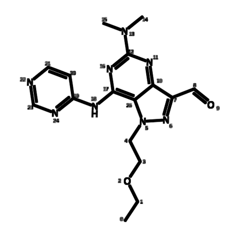 CCOCCn1nc(C=O)c2nc(N(C)C)nc(Nc3ccncn3)c21